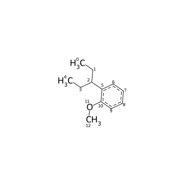 CCC(CC)c1ccccc1OC